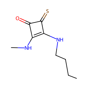 CCCCNc1c(NC)c(=O)c1=S